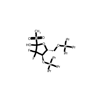 CC(C)[Si](OC[C@H]1OC(O)(S(C)(=O)=O)C(F)(F)[C@@H]1O[Si](C(C)C)(C(C)C)C(C)C)(C(C)C)C(C)C